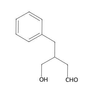 O=CCC(CO)Cc1ccccc1